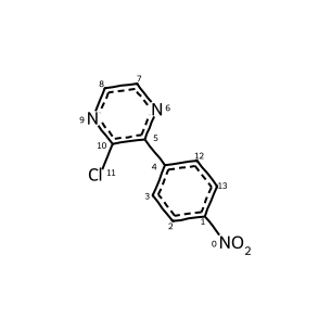 O=[N+]([O-])c1ccc(-c2nccnc2Cl)cc1